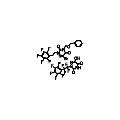 O=c1[nH]c(=O)n(C(F)(F)C(F)(F)c2c(F)c(F)c(F)c(F)c2F)nc1O.O=c1c(Br)nn(CCc2c(F)c(F)c(F)c(F)c2F)c(=O)n1COCc1ccccc1